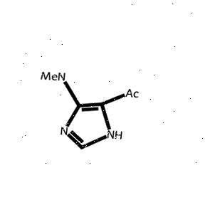 CNc1nc[nH]c1C(C)=O